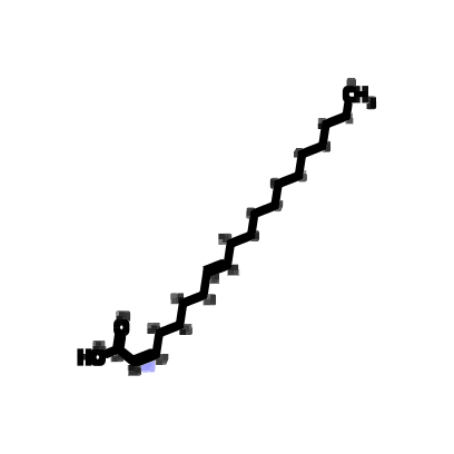 CCCCCCCCCCCC=CCCCC/C=C\C(=O)O